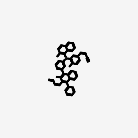 C#C/C=C\c1ccc(C)c(B(c2cccc(-c3c(C)c(/C=C\C=C)c(-c4ccccc4)c4ccccc34)c2)c2c(C)ccc3ccccc23)c1